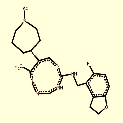 CC(=O)N1CCC[C@H](c2cnc(NCc3c(F)ccc4c3CCO4)[nH]cnnc2C)CC1